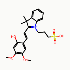 COc1cc(O)c(/C=C/C2=[N+](CCCS(=O)(=O)O)c3ccccc3C2(C)C)cc1OC